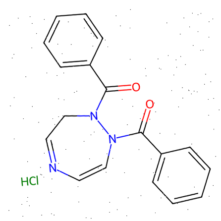 Cl.O=C(c1ccccc1)N1C=CN=CCN1C(=O)c1ccccc1